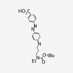 CCN(CCCN=C1C=CC(N=Nc2ccc(C(=O)O)cc2)=CC1)C(=O)OC(C)(C)C